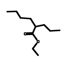 CCCCC(CCC)C(=O)OCC